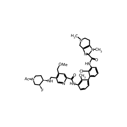 COCc1cc(C(=O)Nc2cccc(-c3cccc(NC(=O)c4nc5c(n4C)CCN(C)C5)c3Cl)c2C)ncc1CN[C@@H]1CCN(C(C)=O)C[C@@H]1F